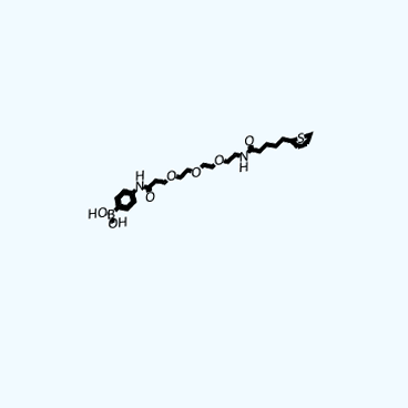 O=C(CCCCC1C2C3CS132)NCCOCCOCCOCCC(=O)Nc1ccc(B(O)O)cc1